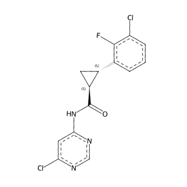 O=C(Nc1cc(Cl)ncn1)[C@H]1C[C@@H]1c1cccc(Cl)c1F